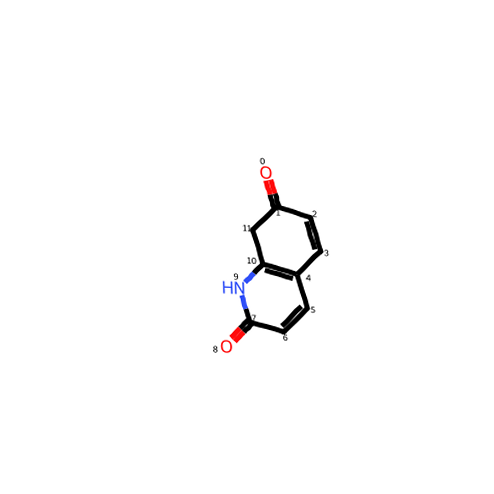 O=C1C=Cc2ccc(=O)[nH]c2C1